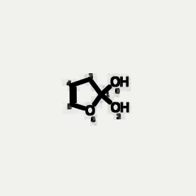 OC1(O)CC=CO1